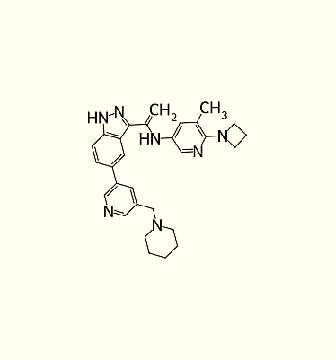 C=C(Nc1cnc(N2CCC2)c(C)c1)c1n[nH]c2ccc(-c3cncc(CN4CCCCC4)c3)cc12